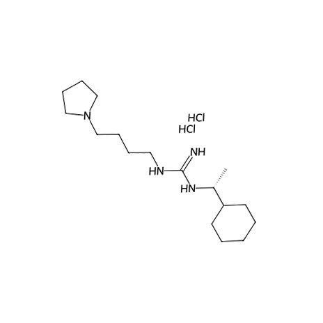 C[C@@H](NC(=N)NCCCCN1CCCC1)C1CCCCC1.Cl.Cl